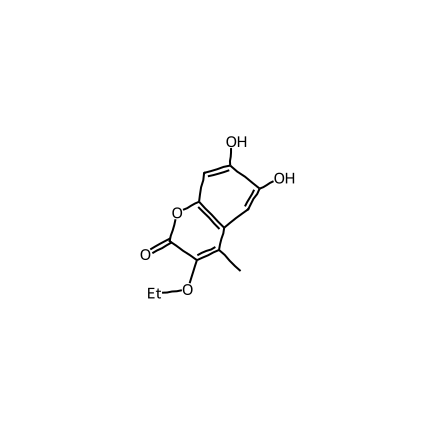 CCOc1c(C)c2cc(O)c(O)cc2oc1=O